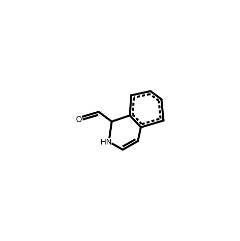 O=[C]C1NC=Cc2ccccc21